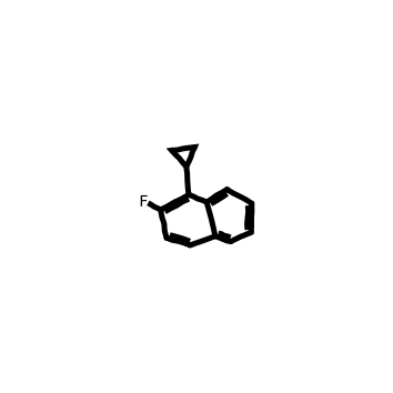 Fc1ccc2ccccc2c1C1CC1